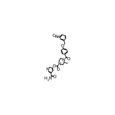 [C-]#[N+]c1cccc(COc2ccc(C(=O)N3CCN(C(=O)Oc4cncc(C(N)=O)c4)CC3C)cc2)c1